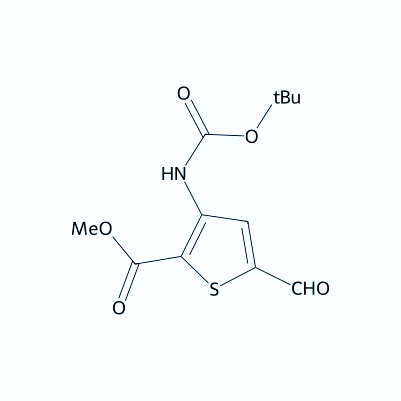 COC(=O)c1sc(C=O)cc1NC(=O)OC(C)(C)C